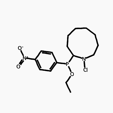 CCOP(c1ccc([N+](=O)[O-])cc1)C1CCCCCCCN1Cl